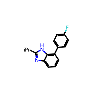 CC(C)c1nc2cccc(-c3ccc(F)cc3)c2[nH]1